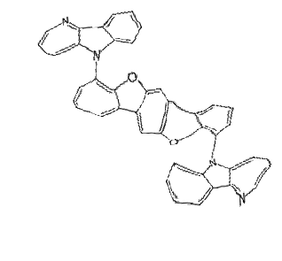 c1cc(-n2c3ccccc3c3ncccc32)c2oc3cc4c(cc3c2c1)oc1c(-n2c3ccccc3c3ncccc32)cccc14